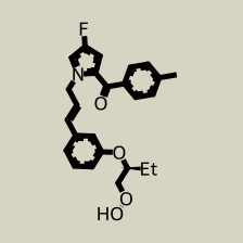 CC[C@@H](COO)Oc1cccc(/C=C/Cn2cc(F)cc2C(=O)c2ccc(C)cc2)c1